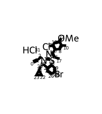 C#CCN(c1nc(-c2cc(C)c(OC)cc2Cl)c(C)s1)[C@@H](CC1CC1)c1ccc(Br)cc1.Cl